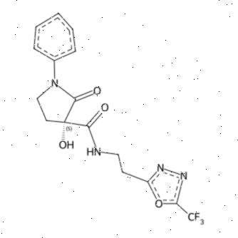 O=C(NCCc1nnc(C(F)(F)F)o1)[C@@]1(O)CCN(c2ccccc2)C1=O